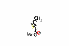 C=CCc1csc(CCC(=O)OC)c1